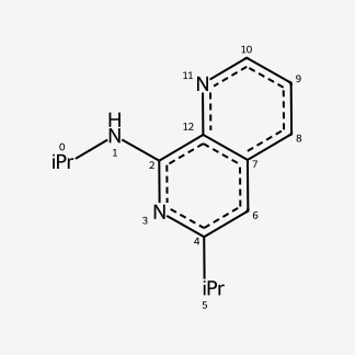 CC(C)Nc1nc(C(C)C)cc2cccnc12